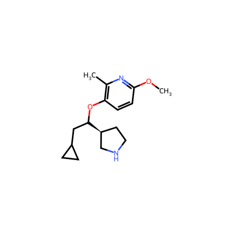 COc1ccc(OC(CC2CC2)[C@H]2CCNC2)c(C)n1